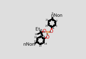 CCCCCCCCCc1ccc(OP(Oc2ccc(CCCCCCCCC)cc2)OC(C)(C)CC)cc1